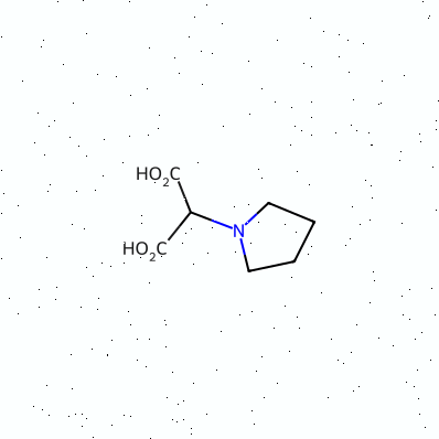 O=C(O)C(C(=O)O)N1CCCC1